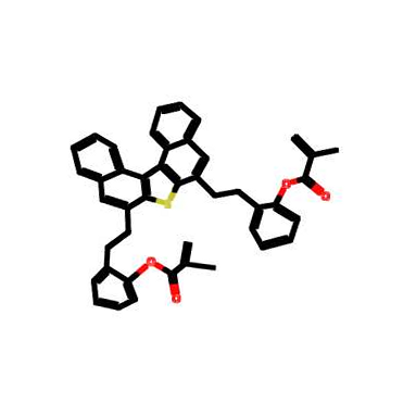 C=C(C)C(=O)Oc1ccccc1CCc1cc2ccccc2c2c1sc1c(CCc3ccccc3OC(=O)C(=C)C)cc3ccccc3c12